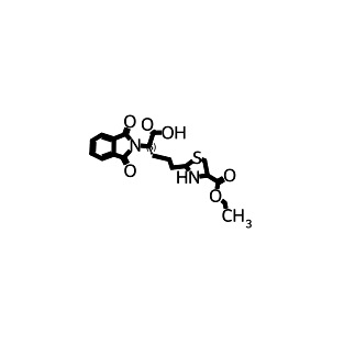 CCOC(=O)C1CSC(CCC[C@@H](C(=O)O)N2C(=O)c3ccccc3C2=O)N1